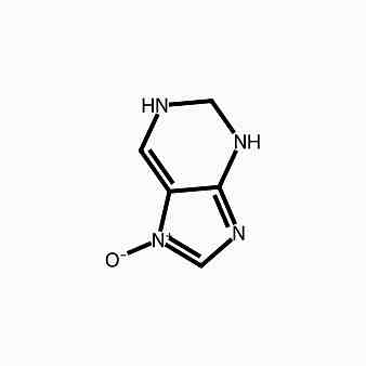 [O-][N+]1=CN=C2NCNC=C21